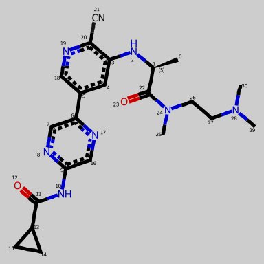 C[C@H](Nc1cc(-c2cnc(NC(=O)C3CC3)cn2)cnc1C#N)C(=O)N(C)CCN(C)C